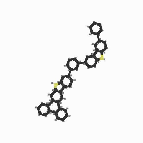 c1ccc(-c2ccc3sc4ccc(-c5cccc(-c6ccc7c(c6)sc6cc8c9ccccc9c9ccccc9c8cc67)c5)cc4c3c2)cc1